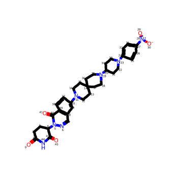 O=C1CCC(n2ncc3cc(N4CCC5(CC4)CCN(C4CCN(c6ccc([N+](=O)[O-])cc6)CC4)CC5)ccc3c2=O)C(=O)N1